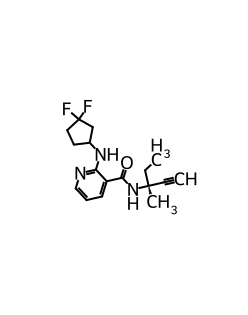 C#C[C@@](C)(CC)NC(=O)c1cccnc1NC1CCC(F)(F)C1